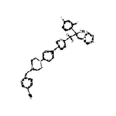 N#Cc1ccc(CN2CCN(c3ccc(-c4ccc(C(F)(F)C(O)(Cn5cnnn5)c5ccc(F)cc5F)nc4)cc3)CC2)cc1